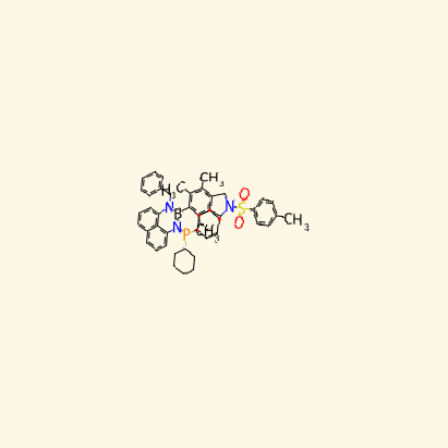 Cc1ccc(S(=O)(=O)N2Cc3c(C)c(C)c(B4N(Cc5ccccc5)c5cccc6cccc(c56)N4P(C4CCCCC4)C4CCCCC4)c(C)c3C2)cc1